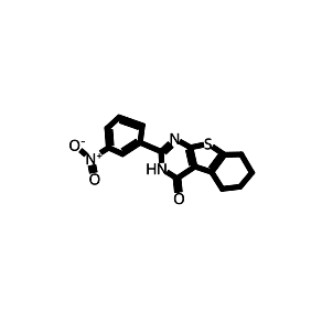 O=c1[nH]c(-c2cccc([N+](=O)[O-])c2)nc2sc3c(c12)CCCC3